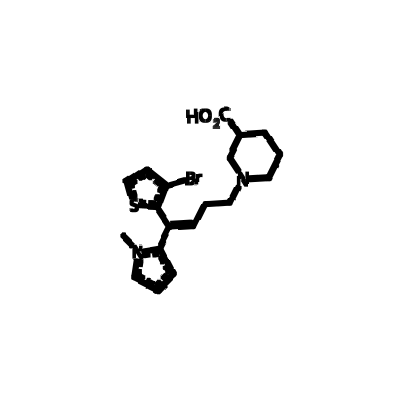 Cn1cccc1C(=CCCN1CCCC(C(=O)O)C1)c1sccc1Br